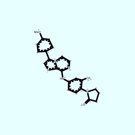 COc1ccc(-c2cnc3c(Nc4ccc(N5CCCC5=O)c(C)c4)nccn23)cc1